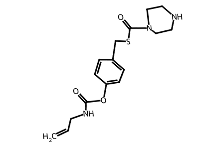 C=CCNC(=O)Oc1ccc(CSC(=O)N2CCNCC2)cc1